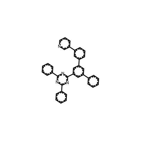 c1ccc(-c2cc(-c3cccc(-c4cccnc4)c3)cc(-c3nc(-c4ccccc4)nc(-c4ccccc4)n3)c2)cc1